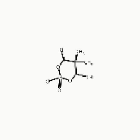 CC1OP(=O)(Cl)OC(Cl)C1(C)C